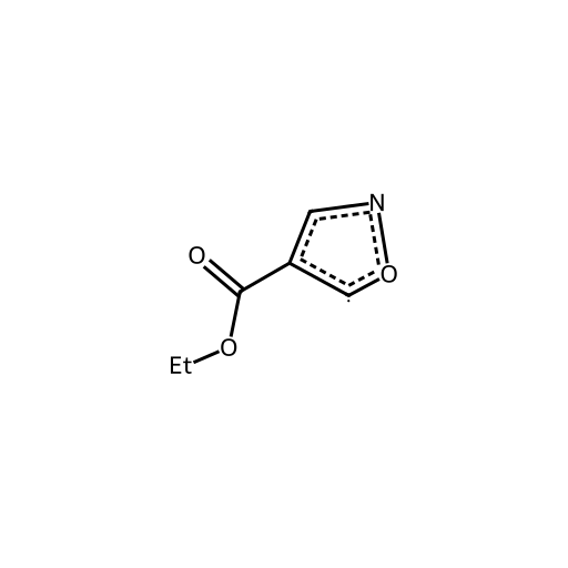 CCOC(=O)c1[c]onc1